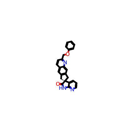 O=C1Nc2ncccc2[C@@]12Cc1cc3ccc(COc4ccccc4)nc3cc1C2